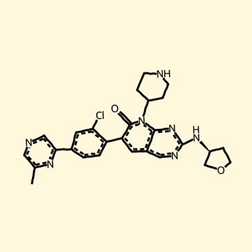 Cc1cncc(-c2ccc(-c3cc4cnc(N[C@H]5CCOC5)nc4n(C4CCNCC4)c3=O)c(Cl)c2)n1